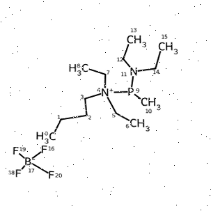 CCCC[N+](CC)(CC)P(C)N(CC)CC.F[B-](F)(F)F